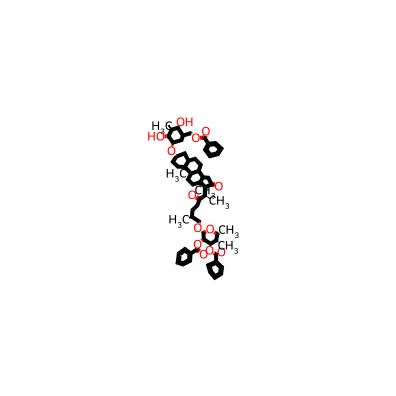 CC1O[C@@H](OC[C@@H](C)CCC(=O)[C@@H](C)C2C(=O)CC3C4CCC5CC(O[C@@H]6CC(COC(=O)c7ccccc7)[C@H](O)[C@H](C)C6O)CCC5(C)C4CCC32C)C(OC(=O)c2ccccc2)[C@@H](OC(=O)c2ccccc2)[C@H]1C